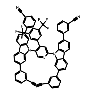 N#Cc1cccc(-c2ccc3c4ccc(-c5cccc(C#N)c5)cc4n(-c4cc(-c5cc(C(F)(F)F)cc(C(F)(F)F)c5)c(-n5c6cc(-c7cccc(C#N)c7)ccc6c6ccc(-c7cccc(C#N)c7)cc65)cn4)c3c2)c1